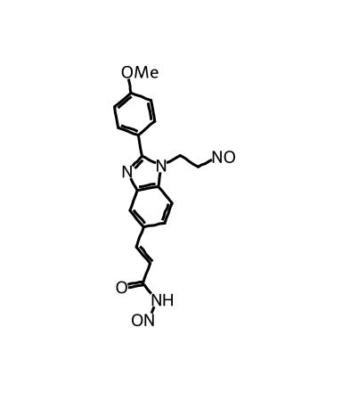 COc1ccc(-c2nc3cc(/C=C/C(=O)NN=O)ccc3n2CCN=O)cc1